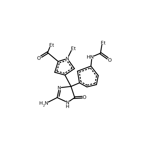 CCC(=O)Nc1cccc(C2(c3cc(C(=O)CC)n(CC)c3)N=C(N)NC2=O)c1